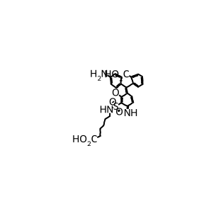 N=c1ccc2c(-c3ccccc3C(=O)O)c3ccc(N)cc3oc-2c1S(=O)(=O)NCCCCCC(=O)O